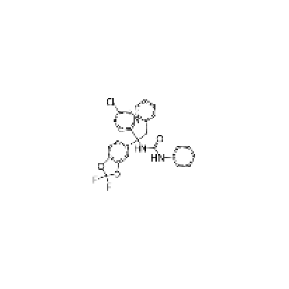 O=C(Nc1ccccc1)NC(Cc1ccccc1)(c1ccc2c(c1)OC(F)(F)O2)c1ccc(Cl)cn1